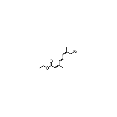 CCOC(=O)C=C(C)C=CC=C(C)CBr